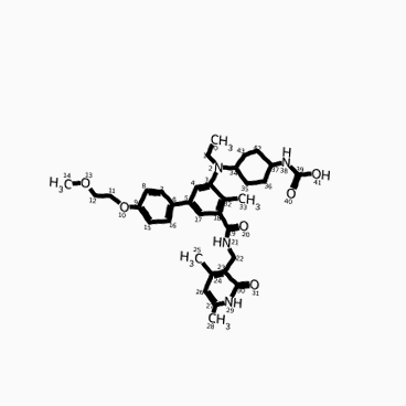 CCN(c1cc(-c2ccc(OCCOC)cc2)cc(C(=O)NCc2c(C)cc(C)[nH]c2=O)c1C)C1CCC(NC(=O)O)CC1